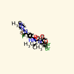 CC(C)C[C@H](NC(=O)c1ccc(-c2nc(N3CCN(C)CC3)sc2F)cc1)C(=O)N1C[C@@H](C=C(Br)Br)[C@H]2OCC(=O)[C@H]21